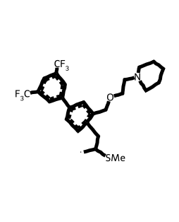 [CH2]C(Cc1ccc(-c2cc(C(F)(F)F)cc(C(F)(F)F)c2)cc1COCCN1CCCCC1)SC